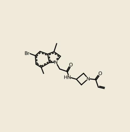 C=CC(=O)N1CC(NC(=O)Cn2cc(C)c3cc(Br)cc(C)c32)C1